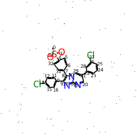 CS(=O)(=O)c1ccc(-c2c(-c3ccc(Cl)cc3)nc3ncc(-c4cccc(Cl)c4)cn23)cc1